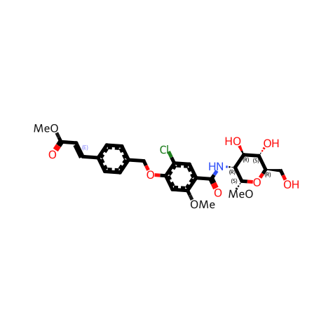 COC(=O)/C=C/c1ccc(COc2cc(OC)c(C(=O)N[C@H]3[C@@H](OC)O[C@H](CO)[C@@H](O)[C@@H]3O)cc2Cl)cc1